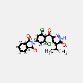 CC(C)c1cc(C(=O)c2c(Cl)cc(N3C(=O)c4ccccc4C3=O)cc2Cl)n[nH]c1=O